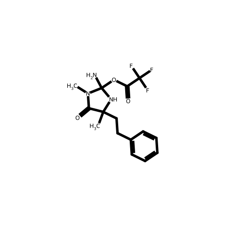 CN1C(=O)C(C)(CCc2ccccc2)NC1(N)OC(=O)C(F)(F)F